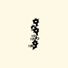 O=C(NCc1ccc2c(c1)SCCN2Cc1ccccc1)Nc1ccc2cc[nH]c2c1